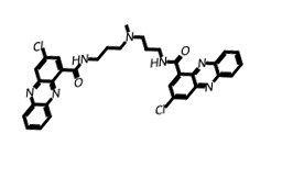 CN(CCCNC(=O)c1cc(Cl)cc2nc3ccccc3nc12)CCCNC(=O)c1cc(Cl)cc2nc3ccccc3nc12